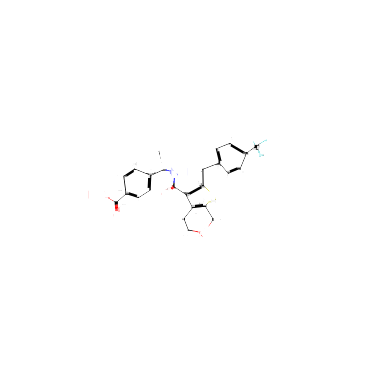 C[C@@H](NC(=O)c1c(Cc2ccc(C(F)(F)F)cc2)sc2c1CCOC2)c1ccc(C(=O)O)cc1